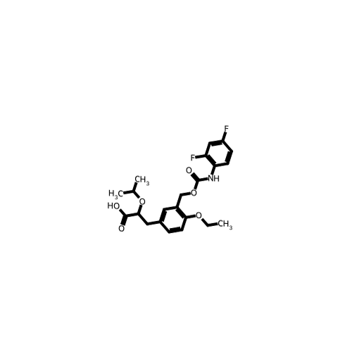 CCOc1ccc(CC(OC(C)C)C(=O)O)cc1COC(=O)Nc1ccc(F)cc1F